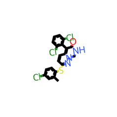 Cc1cc(Cl)ccc1SC1=NN2CNC(=O)C(c3c(Cl)cccc3Cl)=C2C=C1